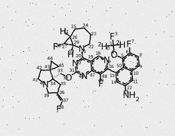 [2H]C([2H])(F)Oc1c(F)ccc2cc(N)cc(-c3ncc4c(N5CCCC[C@H]6[C@H](F)[C@H]65)nc(OC[C@]56C/C(=C/F)CN5CCC65CC5)nc4c3F)c12